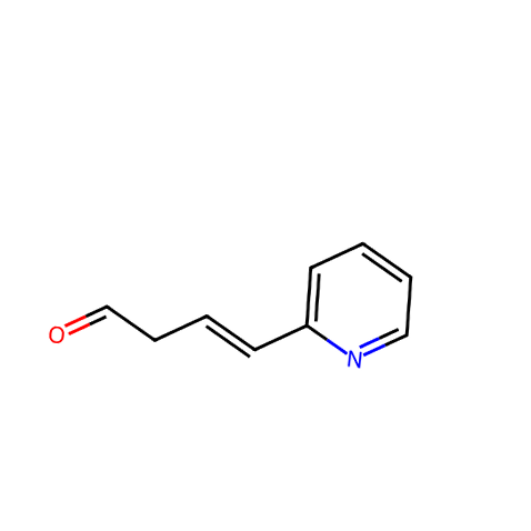 O=CCC=Cc1ccccn1